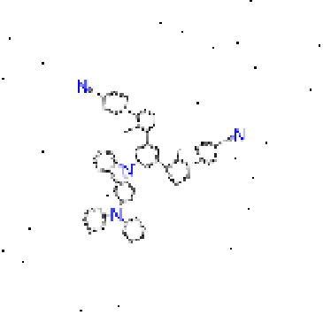 Cc1c(-c2ccc(C#N)cc2)cccc1-c1cc(-c2cccc(-c3ccc(C#N)cc3)c2C)cc(-n2c3ccccc3c3cc(N(c4ccccc4)c4ccccc4)ccc32)c1